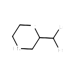 [Li][CH](CC)C1CNCCO1